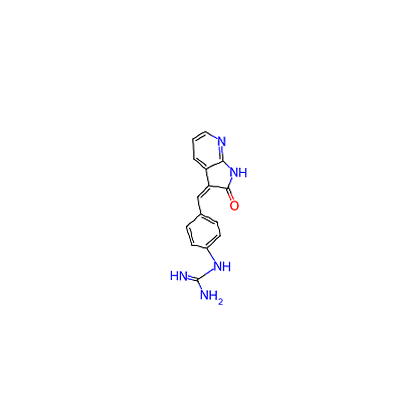 N=C(N)Nc1ccc(C=C2C(=O)Nc3ncccc32)cc1